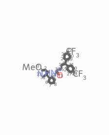 COc1ccc(-c2ccccc2NC(=O)/C=C/C=C(c2ccc(C(F)(F)F)cc2)c2ccc(C(F)(F)F)cc2)cn1